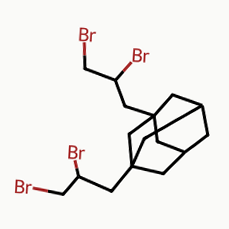 BrCC(Br)CC12CC3CC(C1)CC(CC(Br)CBr)(C3)C2